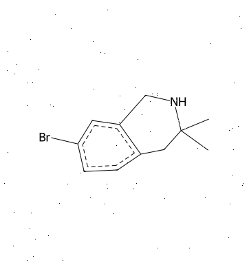 CC1(C)Cc2ccc(Br)cc2CN1